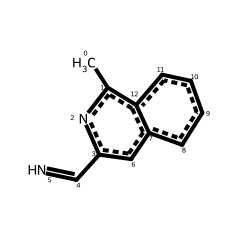 Cc1nc(C=N)cc2ccccc12